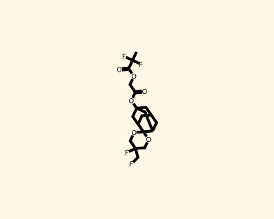 CC(F)(F)C(=O)OCC(=O)OC12CC3CC(C1)C1(OCC(F)(CF)CO1)C(C3)C2